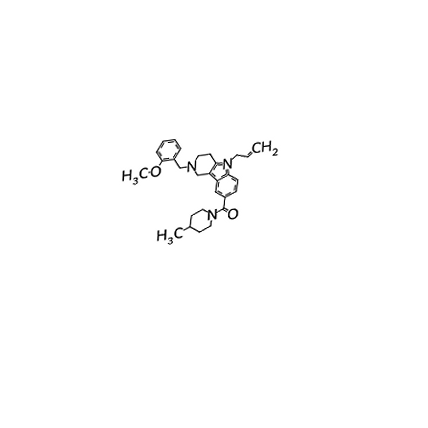 C=CCn1c2c(c3cc(C(=O)N4CCC(C)CC4)ccc31)CN(Cc1ccccc1OC)CC2